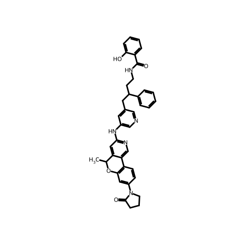 CC1Oc2cc(N3CCCC3=O)ccc2-c2cnc(Nc3cncc(CC(CCNC(=O)c4ccccc4O)c4ccccc4)c3)cc21